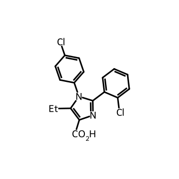 CCc1c(C(=O)O)nc(-c2ccccc2Cl)n1-c1ccc(Cl)cc1